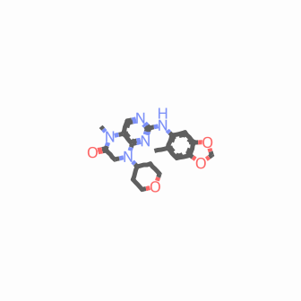 Cc1cc2c(cc1Nc1ncc3c(n1)N(C1CCOCC1)CC(=O)N3C)OCO2